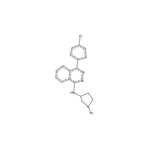 CC(=O)N1CCC(Nc2nnc(-c3ccc(Cl)cc3)c3ccccc23)C1